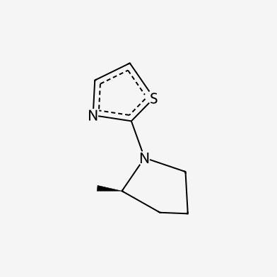 C[C@@H]1CCCN1c1nccs1